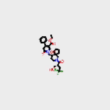 CCOC(=O)c1cn(C[C@]2(O)CCN(C(=O)[C@H](CO)CC(F)(F)F)CC23CCCC3)c(=O)cc1-c1ccccc1